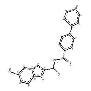 CC(NC(=O)c1ccc(-c2ccncc2)cc1)c1cc2cc(Cl)ccc2o1